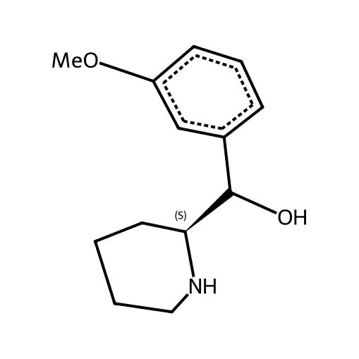 COc1cccc(C(O)[C@@H]2CCCCN2)c1